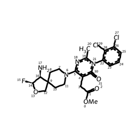 COC(=O)Cc1c(N2CCC3(CC2)CO[C@@H](F)[C@H]3N)nc(C)n(-c2cccc(Cl)c2Cl)c1=O